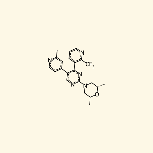 Cc1cc(-c2cnc(N3C[C@@H](C)O[C@@H](C)C3)nc2-c2cccnc2C(F)(F)F)ccn1